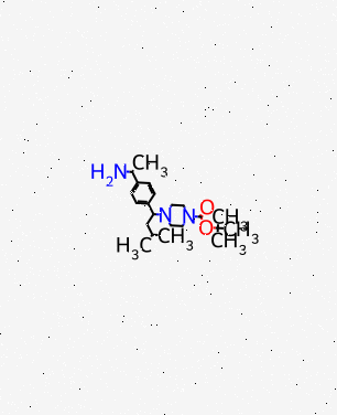 CC(C)CC(c1ccc([C@H](C)N)cc1)N1CCN(C(=O)OC(C)(C)C)CC1